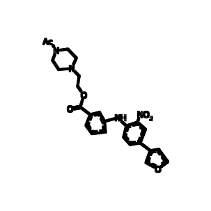 CC(=O)N1CCN(CCOC(=O)c2cccc(Nc3ccc(-c4ccoc4)cc3[N+](=O)[O-])c2)CC1